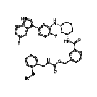 CCOc1ccccc1CNC(=O)OCc1ccnc(C(=O)N[C@H]2CCC[C@@H](Nc3nc(-c4c[nH]c5ncc(F)cc45)ncc3F)C2)c1